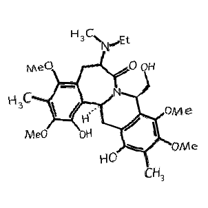 CCN(C)C1Cc2c(OC)c(C)c(OC)c(O)c2[C@@H]2Cc3c(O)c(C)c(OC)c(OC)c3[C@H](CO)N2C1=O